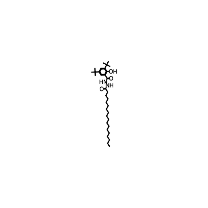 CCCCCCCCCCCCCCCCCC(=O)NNC(=O)c1cc(C(C)(C)C)cc(C(C)(C)C)c1O